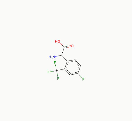 NC(C(=O)O)c1ccc(F)cc1C(F)(F)F